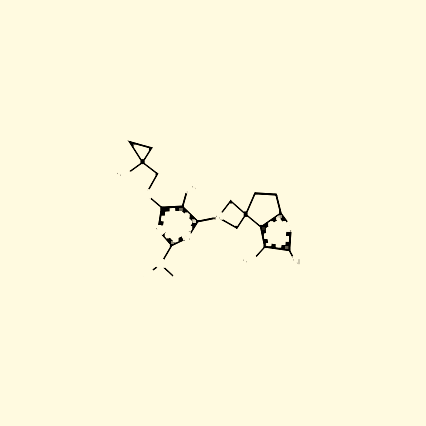 C[S+]([O-])c1nc(OCC2(C#N)CC2)c(C#N)c(N2CC3(CCc4sc(N)c(C#N)c43)C2)n1